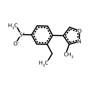 CCc1cc([S+](C)[O-])ccc1-c1conc1C